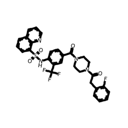 O=C(Cc1ccccc1F)N1CCN(C(=O)c2ccc(NS(=O)(=O)c3cccc4cccnc34)c(C(F)(F)F)c2)CC1